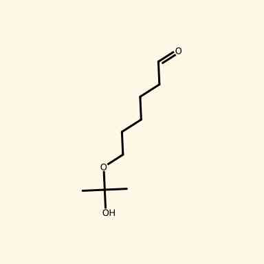 CC(C)(O)OCCCCCC=O